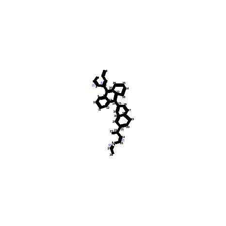 C=C/C=C(\C=C/C)c1c2ccccc2c(-c2ccc3ccc(C(C)/C=C\N=C/C)cc3c2)c2ccccc12